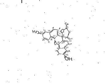 C=C1CC(=O)OC12c1ccc3cc(O)ccc3c1Oc1c2ccc2cc(O)ccc12